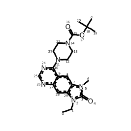 CCn1c(=O)n(C)c2cc3c(N4CCN(C(=O)OC(C)(C)C)CC4)ncnc3cc21